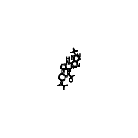 CC(=O)N[C@@H]1C[C@H](N(C)C(C)C)CC[C@@H]1N1CC[C@H](Nc2ncnc3cnc(C(C)(C)C)nc23)C1=O